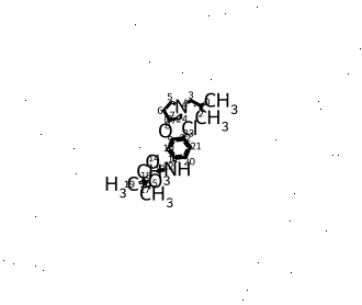 C[C](C)CN1CC[C@@H](Oc2cc(NC(=O)OC(C)(C)C)ccc2Cl)C1